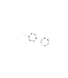 COc1cccnc1-c1ccc(N)cc1F